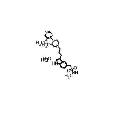 CNS(=O)(=O)Cc1ccc2[nH]cc(CCCN3CCN(c4ncncc4OC)C(C)C3)c2c1.Cl.O